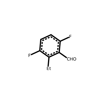 CCc1c(F)ccc(F)c1C=O